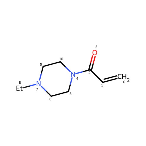 C=CC(=O)N1CCN(CC)CC1